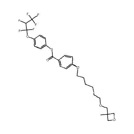 CC1(COCCCCCCOc2ccc(C(=O)Oc3ccc(OC(F)(F)C(F)C(F)(F)F)cc3)cc2)COC1